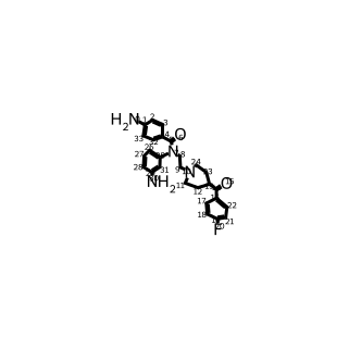 Nc1ccc(C(=O)N(CCN2CCC(C(=O)c3ccc(F)cc3)CC2)c2cccc(N)c2)cc1